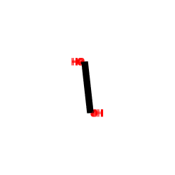 OC1CC2C1C1C2C2C1C1C2C2C1C1C2C2C1C1C3C4C5C6C7C8C9CC(O)C9C8C7C6C5C4C3C21